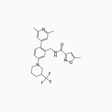 Cc1cc(-c2ccc(N3CCCC(C(F)(F)F)C3)cc2CNC(=O)c2cc(C)on2)cc(C)n1